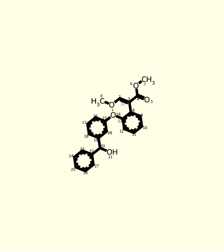 CO/C=C(/C(=O)OC)c1ccccc1Oc1cccc(C(O)c2ccccc2)c1